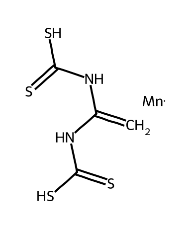 C=C(NC(=S)S)NC(=S)S.[Mn]